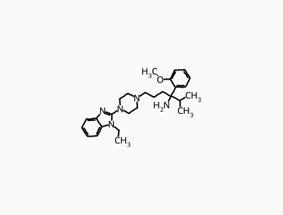 CCn1c(N2CCN(CCCC(N)(c3ccccc3OC)C(C)C)CC2)nc2ccccc21